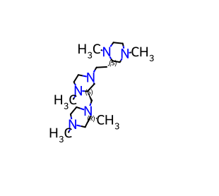 C[C@@H]1CN(C)CCN1C[C@@H]1CN(CC[C@H]2CN(C)CCN2C)CCN1C